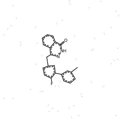 Cc1cccc(-c2cc(Cc3n[nH]c(=O)c4ccccc34)ccc2F)c1